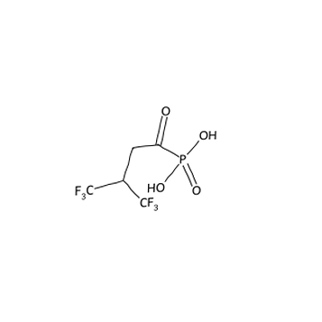 O=C(CC(C(F)(F)F)C(F)(F)F)P(=O)(O)O